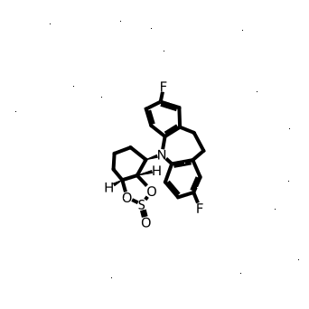 O=S1O[C@H]2[C@H](N3c4ccc(F)cc4CCc4cc(F)ccc43)CCC[C@H]2O1